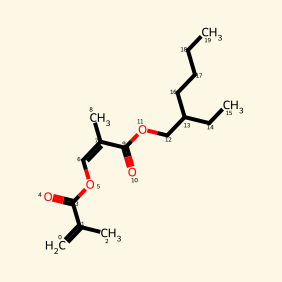 C=C(C)C(=O)OC=C(C)C(=O)OCC(CC)CCCC